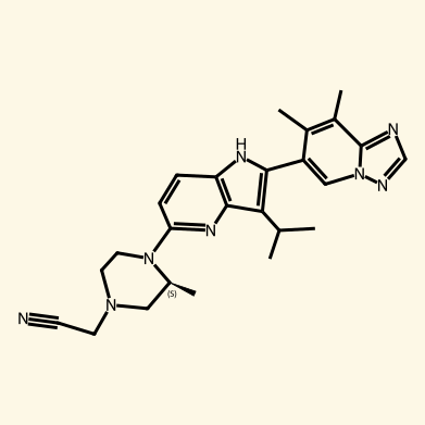 Cc1c(-c2[nH]c3ccc(N4CCN(CC#N)C[C@@H]4C)nc3c2C(C)C)cn2ncnc2c1C